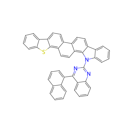 c1ccc2c(-c3nc(-n4c5ccccc5c5ccc6c7ccc8c9ccccc9sc8c7ccc6c54)nc4ccccc34)cccc2c1